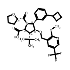 COc1ncc(C(F)(F)F)cc1CO[C@H]1[C@H](C(C)(C)C)[C@@H](C(=O)O)N(C(=O)[C@@H]2CCCO2)[C@H]1c1cccc(C2CCC2)c1